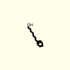 OCCCCCCCC1CC2C=CC1C2